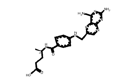 C[C@H](CCC(=O)O)NC(=O)c1ccc(NCc2cnc3nc(N)nc(N)c3n2)cc1